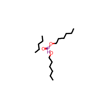 CCCCC.CCCCCCO[PH](=O)OCCCCCC